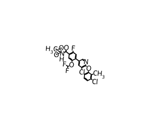 Cc1c(Cl)cccc1Oc1ncc(-c2cc(F)c(C(=O)NS(C)(=O)=O)cc2OC(F)F)cc1Cl